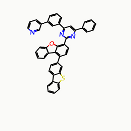 c1ccc(-c2cc(-c3cccc(-c4cccnc4)c3)nc(-c3ccc(-c4ccc5c(c4)sc4ccccc45)c4c3oc3ccccc34)n2)cc1